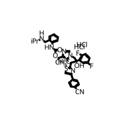 CC(C)NCc1ccccc1NC(=O)OC(C)c1ncn(C[C@](O)(c2cc(F)ccc2F)[C@@H](C)c2nc(-c3ccc(C#N)cc3)cs2)n1.Cl.Cl